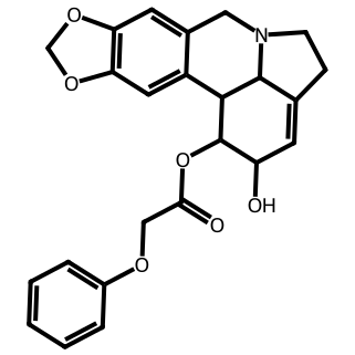 O=C(COc1ccccc1)OC1C(O)C=C2CCN3Cc4cc5c(cc4C1C23)OCO5